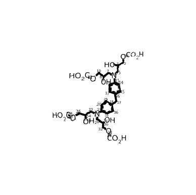 O=C(O)OCC(O)CN(CC(O)COC(=O)O)c1ccc(Cc2ccc(N(CC(O)COC(=O)O)CC(O)COC(=O)O)cc2)cc1